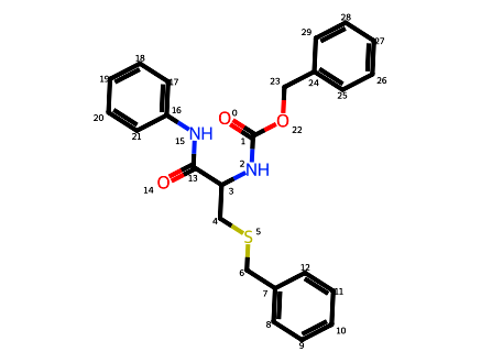 O=C(NC(CSCc1ccccc1)C(=O)Nc1ccccc1)OCc1ccccc1